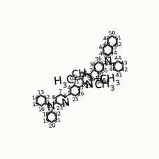 CC1(C)c2cc(-c3ccc(N(c4ccccc4)c4ccccc4)cn3)ccc2-c2nc3c(cc21)-c1ccc(N(c2ccccc2)c2ccc4ccccc4c2)cc1C3(C)C